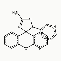 NC1=NC2(c3ccccc3Oc3ncccc32)C(c2cccnc2)O1